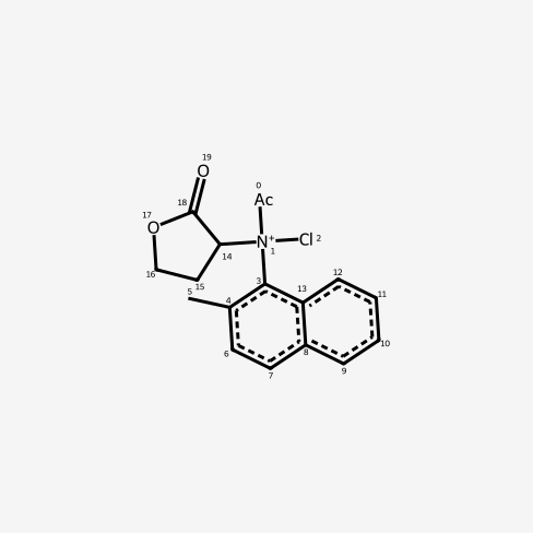 CC(=O)[N+](Cl)(c1c(C)ccc2ccccc12)C1CCOC1=O